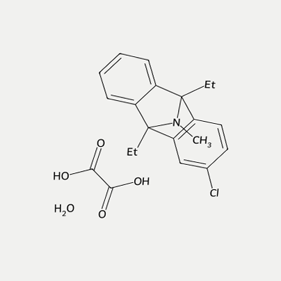 CCC12c3ccccc3C(CC)(c3cc(Cl)ccc31)N2C.O.O=C(O)C(=O)O